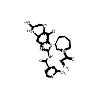 C=CC(=O)N1CCCC[C@@H](n2c(NC(=O)c3ccnc(C)c3)nc3cc4c(c(Cl)c32)OCC(O)N4)C1